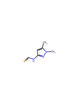 Cc1cc(NC=S)nn1C